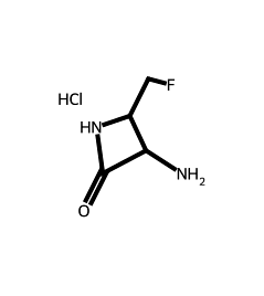 Cl.NC1C(=O)NC1CF